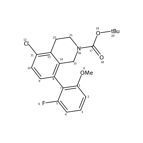 COc1cccc(F)c1-c1ccc(Cl)c2c1CN(C(=O)OC(C)(C)C)CC2